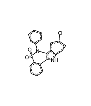 O=S1(=O)c2ccccc2-c2[nH]c3ccc(Cl)cc3c2N1c1ccccc1